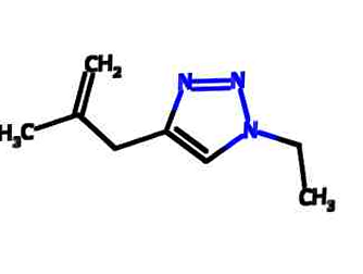 C=C(C)Cc1cn(CC)nn1